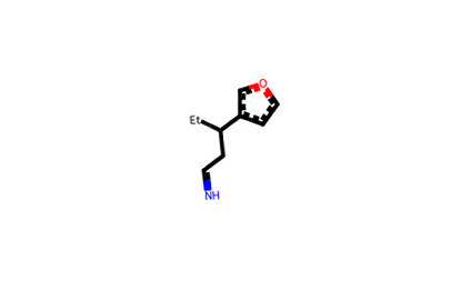 CCC(CC=N)c1ccoc1